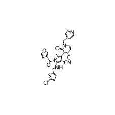 N#Cc1c(-c2c(Cl)ccn(Cc3ccncc3)c2=O)nn(C(=O)c2ccoc2)c1NCc1ccc(Cl)s1